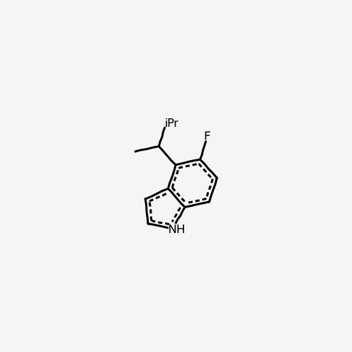 CC(C)C(C)c1c(F)ccc2[nH]ccc12